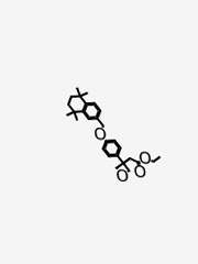 CCOC(=O)CC1(c2ccc(OCc3ccc4c(c3)C(C)(C)CCC4(C)C)cc2)COC1